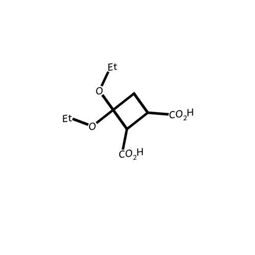 CCOC1(OCC)CC(C(=O)O)C1C(=O)O